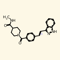 CNC(=O)C1CCN(C(=O)c2ccc(/C=C/c3n[nH]c4ccccc34)cc2)CC1